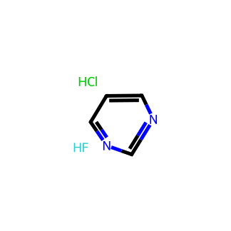 Cl.F.c1cncnc1